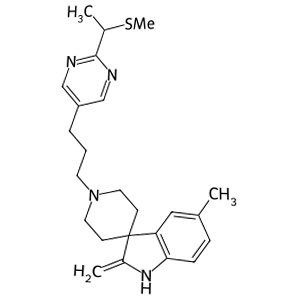 C=C1Nc2ccc(C)cc2C12CCN(CCCc1cnc(C(C)SC)nc1)CC2